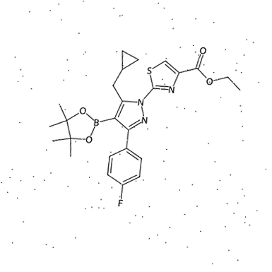 CCOC(=O)c1csc(-n2nc(-c3ccc(F)cc3)c(B3OC(C)(C)C(C)(C)O3)c2CC2CC2)n1